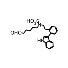 O=CCCCCCN(CCc1ccccc1-c1c[nH]c2ccccc12)C(=O)O